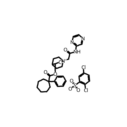 O=C(C[N+]12CCC(CC1)C(OC(=O)C1(c3ccccc3)CCCCCC1)C2)Nc1cnccn1.O=S(=O)([O-])c1cc(Cl)ccc1Cl